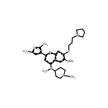 COc1cc2c(N(C)C3CCN(C)CC3)cc(-c3cc(C)oc3C)nc2cc1OCCCN1CCCC1